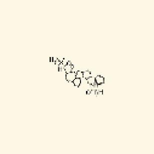 CNC(=O)NCc1cc(CN2C(=O)[C@H](NC(=O)C(C)(C)N)CSc3ccccc32)ccc1-c1ccccc1